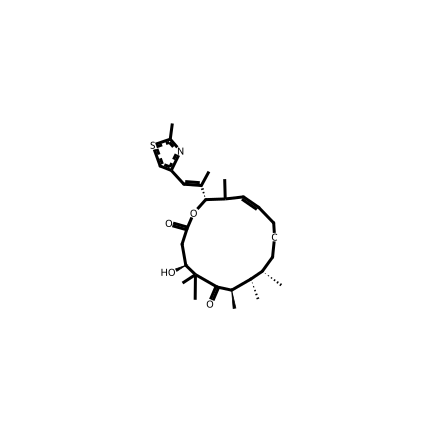 C/C(=C\c1csc(C)n1)[C@H]1OC(=O)C[C@H](O)C(C)(C)C(=O)[C@H](C)[C@@H](C)[C@@H](C)CCC/C=C\C1C